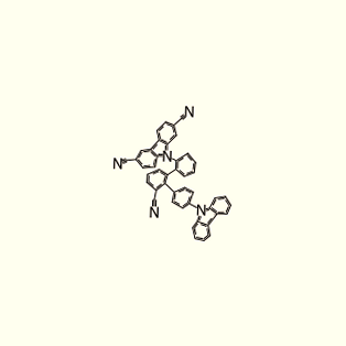 N#Cc1ccc2c(c1)c1ccc(C#N)cc1n2-c1ccccc1-c1cccc(C#N)c1-c1ccc(-n2c3ccccc3c3ccccc32)cc1